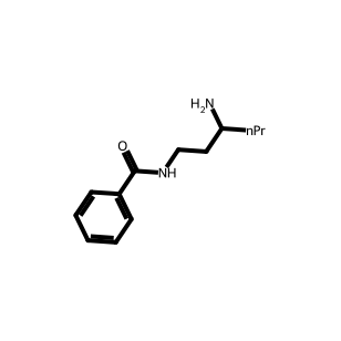 CCCC(N)CCNC(=O)c1ccccc1